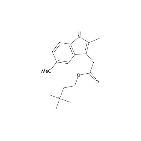 COc1ccc2[nH]c(C)c(CC(=O)OCC[Si](C)(C)C)c2c1